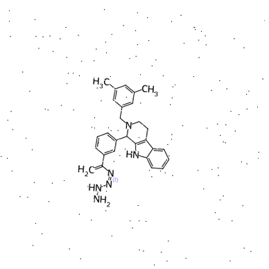 C=C(/N=N\NN)c1cccc(C2c3[nH]c4ccccc4c3CCN2Cc2cc(C)cc(C)c2)c1